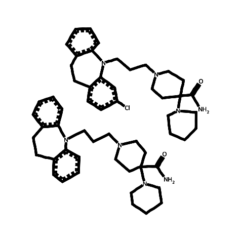 NC(=O)C1(N2CCCCC2)CCN(CCCN2c3ccccc3CCc3ccc(Cl)cc32)CC1.NC(=O)C1(N2CCCCC2)CCN(CCCN2c3ccccc3CCc3ccccc32)CC1